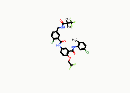 Cc1ccc(Cl)cc1NC(=O)c1cc(NC(=O)c2cc(CNC(=O)C(C)(C)C(F)(F)F)ccc2Cl)ccc1OCC(F)F